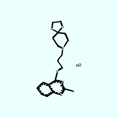 Cc1nc(OCCCN2CCC3(CC2)OCCO3)c2ccccc2n1.Cl